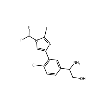 NC(CO)c1ccc(Cl)c(-c2cn(C(F)F)c(I)n2)c1